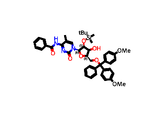 COc1ccc(C(OC[C@H]2O[C@@H](n3cc(C)c(NC(=O)c4ccccc4)nc3=O)[C@@H](O[Si](C)(C)C(C)(C)C)C2O)(c2ccccc2)c2ccc(OC)cc2)cc1